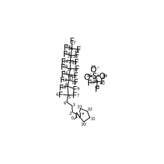 C[N+]1(CCCC(F)(F)C(F)(F)C(F)(F)C(F)(F)C(F)(F)C(F)(F)C(F)(F)C(F)(F)F)CCCC1.O=S(=O)([O-])C(F)(F)F